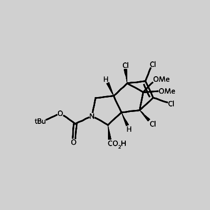 COC1(OC)[C@@]2(Cl)C(Cl)=C(Cl)[C@]1(Cl)[C@@H]1[C@@H](C(=O)O)N(C(=O)OC(C)(C)C)C[C@@H]12